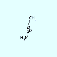 CCCCCCCCc1ccc(C(=O)OCCCCCC)cc1